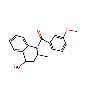 COc1cccc(C(=O)N2c3ccccc3C(O)CC2C)c1